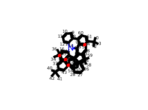 CC(C)(C)c1ccc(-c2ccccc2N(c2ccccc2-c2cccc3cccc(-c4cc(C(C)(C)C)cc(C(C)(C)C)c4)c23)c2cccc3c2-c2ccccc2C3(C)C)cc1